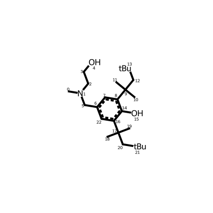 CN(CCO)Cc1cc(C(C)(C)CC(C)(C)C)c(O)c(C(C)(C)CC(C)(C)C)c1